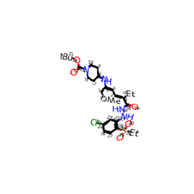 CC/C(=C\C=C(/COC)NC1CCN(C(=O)OC(C)(C)C)CC1)C(=O)NNc1cc(Cl)ccc1S(=O)(=O)CC